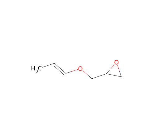 CC=COCC1CO1